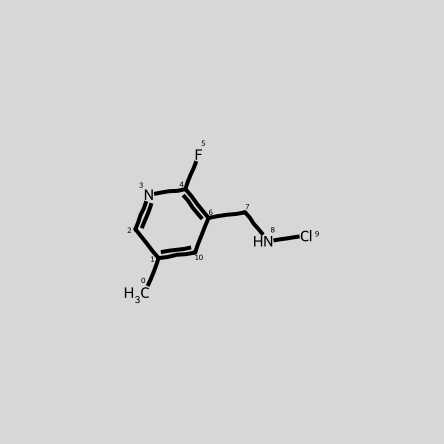 Cc1cnc(F)c(CNCl)c1